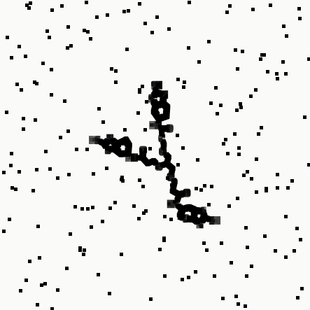 O=C(CCOCC(COCCC(=O)Nc1ccc2nc(S)sc2c1)OCCC(=O)Nc1ccc2nc(S)sc2c1)Nc1ccc2nc(S)sc2c1